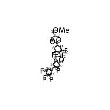 COCC1COC(c2cc(F)c(C(F)(F)Oc3ccc(-c4cc(F)c(F)c(F)c4)c(F)c3)c(F)c2)OC1